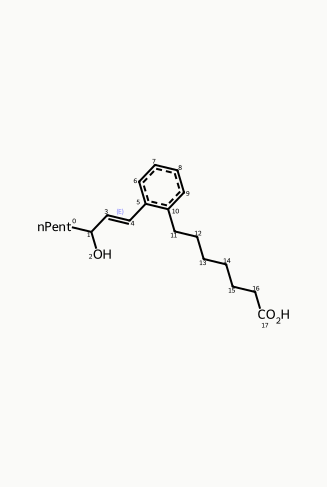 CCCCCC(O)/C=C/c1ccccc1CCCCCCC(=O)O